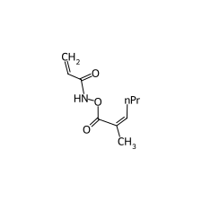 C=CC(=O)NOC(=O)C(C)=CCCC